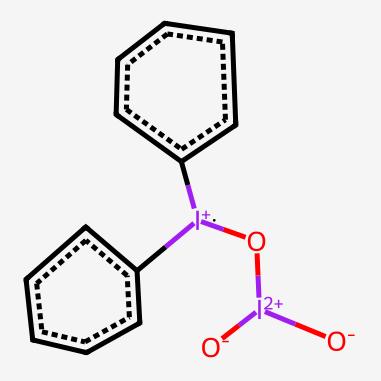 [O-][I+2]([O-])O[I+](c1ccccc1)c1ccccc1